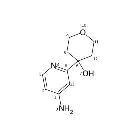 Nc1ccnc(C2(O)CCOCC2)c1